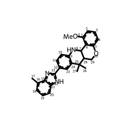 COc1cccc2c1C1Nc3ccc(-c4nc5c(C)cccc5[nH]4)cc3C(C)(C)C1CO2